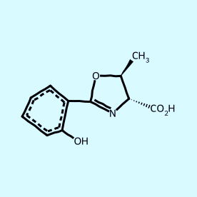 C[C@@H]1OC(c2ccccc2O)=N[C@H]1C(=O)O